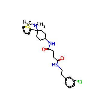 CN(C)C1(c2cccs2)CCC(NC(=O)CCC(=O)NCCc2cccc(Cl)c2)CC1